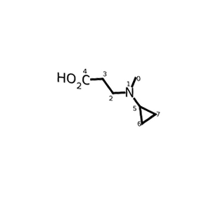 CN(CCC(=O)O)C1CC1